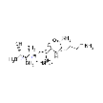 BC/C(C[C@H](N)C(=O)N[C@@H](CCCCN)C(N)=O)=C(B)\C(B)=C(\B)C#C